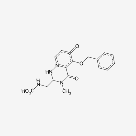 CN1C(=O)c2c(OCc3ccccc3)c(=O)ccn2NC1CNC(=O)O